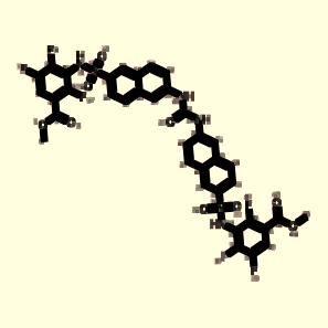 COC(=O)c1cc(F)c(F)c(NS(=O)(=O)c2ccc3cc(NC(=O)Nc4ccc5cc(S(=O)(=O)Nc6c(F)c(F)cc(C(=O)OC)c6F)ccc5c4)ccc3c2)c1F